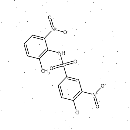 Cc1cccc([N+](=O)[O-])c1NS(=O)(=O)c1ccc(Cl)c([N+](=O)[O-])c1